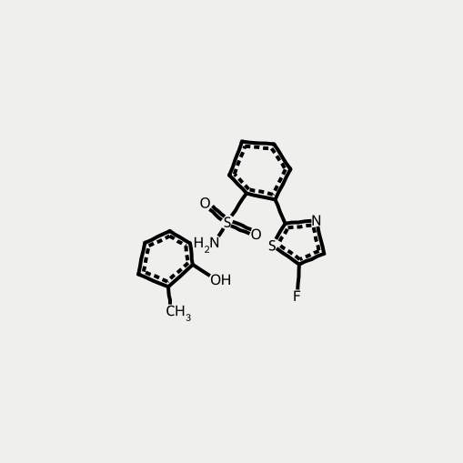 Cc1ccccc1O.NS(=O)(=O)c1ccccc1-c1ncc(F)s1